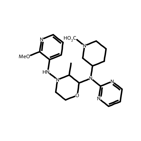 COc1ncccc1NN1CCOC(N(c2ncccn2)C2CCCN(C(=O)O)C2)C1C